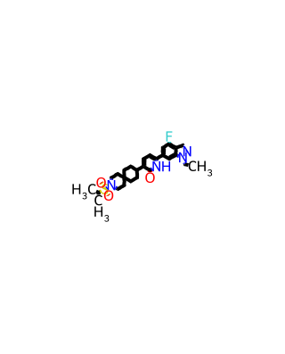 CCn1ncc2c(F)cc(-c3ccc(C4CCC5(CC4)CCN(S(=O)(=O)C(C)C)CC5)c(=O)[nH]3)cc21